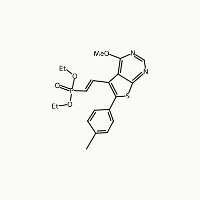 CCOP(=O)(/C=C/c1c(-c2ccc(C)cc2)sc2ncnc(OC)c12)OCC